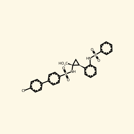 O=C(O)[C@@]1(NS(=O)(=O)c2ccc(-c3ccc(Cl)cc3)cc2)C[C@H]1c1ccccc1NS(=O)(=O)c1ccccc1